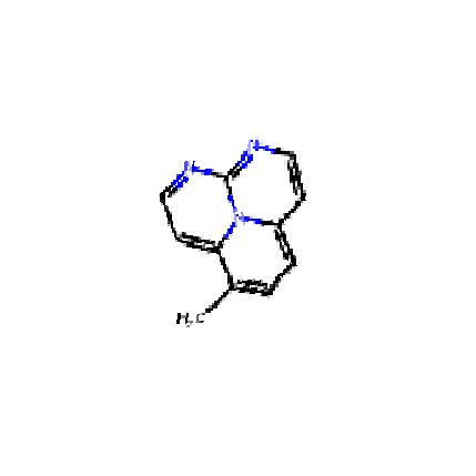 CC1=CC=C2C=CN=C3N=CC=C1N23